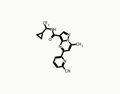 Cc1cc(-c2cccc(C#N)n2)nc2c(C(=O)NC(C3CC3)C(F)(F)F)cnn12